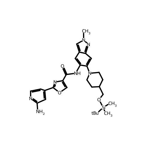 Cn1cc2cc(NC(=O)c3coc(-c4ccnc(N)c4)n3)c(N3CCC(CO[Si](C)(C)C(C)(C)C)CC3)cc2n1